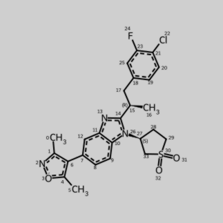 Cc1noc(C)c1-c1ccc2c(c1)nc([C@H](C)Cc1ccc(Cl)c(F)c1)n2[C@H]1CCS(=O)(=O)C1